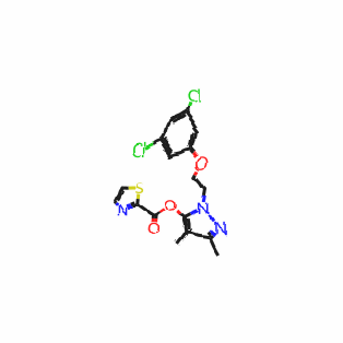 Cc1nn(CCOc2cc(Cl)cc(Cl)c2)c(OC(=O)c2nccs2)c1C